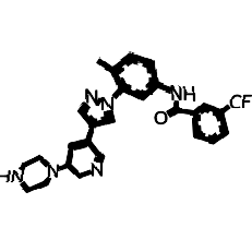 Cc1ccc(NC(=O)c2cccc(C(F)(F)F)c2)cc1-n1cc(C2=CC(N3CCNCC3)CN=C2)cn1